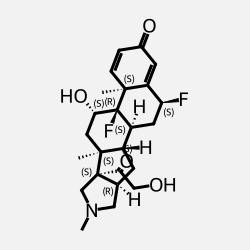 CN1C[C@@H]2C[C@H]3[C@@H]4C[C@H](F)C5=CC(=O)C=C[C@]5(C)[C@@]4(F)[C@@H](O)C[C@]3(C)[C@]2(C(=O)CO)C1